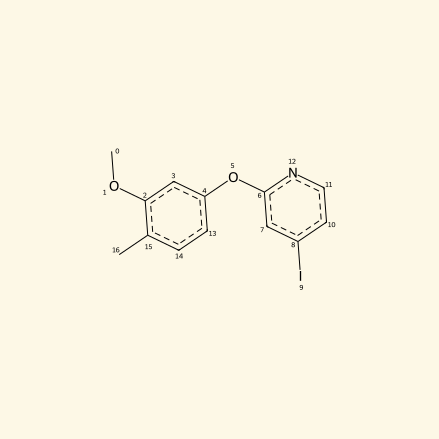 COc1cc(Oc2cc(I)ccn2)ccc1C